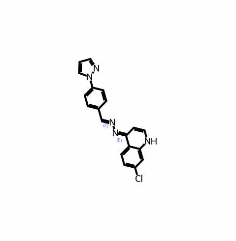 Clc1ccc2/c(=N/N=C/c3ccc(-n4cccn4)cc3)cc[nH]c2c1